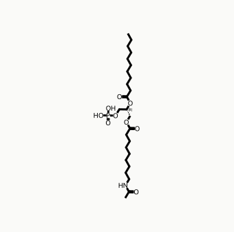 CCCCCCCCCCC(=O)O[C@H](COC(=O)CCCCCCCCNC(C)=O)COP(=O)(O)O